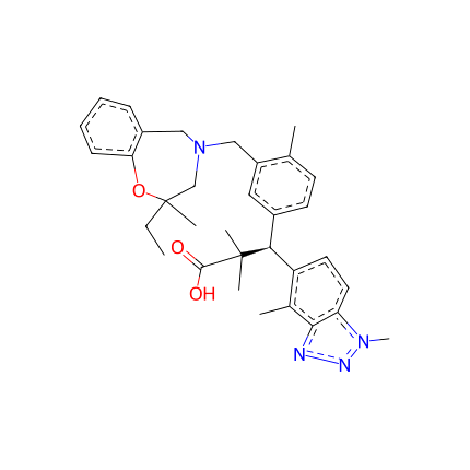 CCC1(C)CN(Cc2cc([C@@H](c3ccc4c(nnn4C)c3C)C(C)(C)C(=O)O)ccc2C)Cc2ccccc2O1